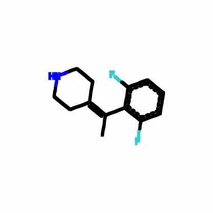 CC(=C1CCNCC1)c1c(F)cccc1F